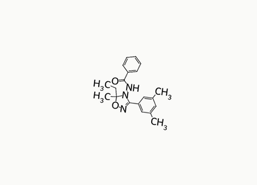 CCC1(C)ON=C(c2cc(C)cc(C)c2)N1NC(=O)c1ccccc1